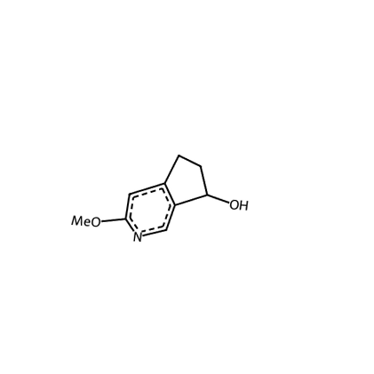 COc1cc2c(cn1)C(O)CC2